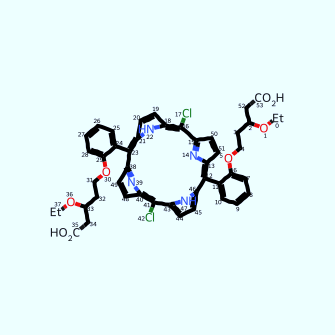 CCOC(CCOc1ccccc1-c1c2nc(c(Cl)c3ccc([nH]3)c(-c3ccccc3OCCC(CC(=O)O)OCC)c3nc(c(Cl)c4ccc1[nH]4)C=C3)C=C2)CC(=O)O